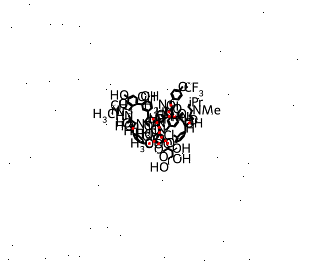 CN[C@H](CC(C)C)C(=O)N[C@H]1C(=O)N[C@@H](CC(N)=O)C(=O)N[C@H]2C(=O)N[C@H]3C(=O)N[C@H](C(=O)N[C@@H](C(=O)NN(C)C)c4cc(O)cc(O)c4-c4cc3ccc4O)[C@H](O)c3ccc(c(Cl)c3)Oc3cc2cc(c3O[C@@H]2O[C@H](CO)[C@@H](O)[C@H](O)[C@H]2O[C@H]2C[C@](C)(NCc3cccc(NC(=O)Cc4ccc(OC(F)(F)F)cc4)c3)[C@H](O)[C@H](C)O2)Oc2ccc(cc2Cl)[C@H]1O